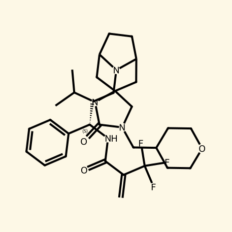 C=C(C(=O)N[C@@H](CCN1C2CCC1CC1(C2)CN(CC2CCOCC2)C(=O)N1C(C)C)c1ccccc1)C(F)(F)F